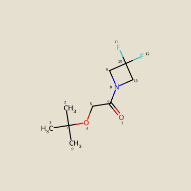 CC(C)(C)OCC(=O)N1CC(F)(F)C1